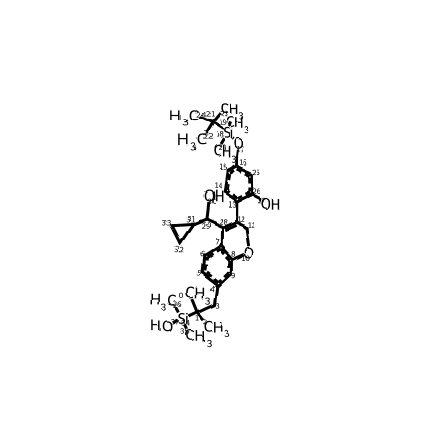 CC(C)(Cc1ccc2c(c1)OCC(c1ccc(O[Si](C)(C)C(C)(C)C)cc1O)=C2C(O)C1CC1)[Si](C)(C)O